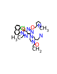 C=CC(=O)N1CCN(c2nc(OCC3CCCN3C)nc3c(=O)n(-c4cccc5cccc(Cl)c45)c(CC)nc23)CC1CC#N